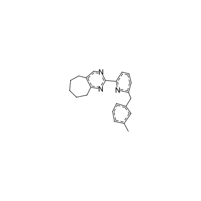 Cc1cccc(Cc2cccc(-c3ncc4c(n3)CCCCC4)n2)c1